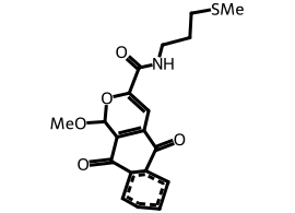 COC1OC(C(=O)NCCCSC)=CC2=C1C(=O)c1ccccc1C2=O